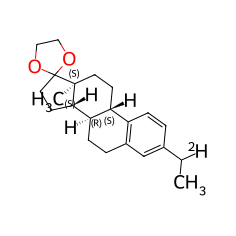 [2H]C(C)c1ccc2c(c1)CC[C@@H]1[C@@H]2CC[C@@]2(C)[C@H]1CCC21OCCO1